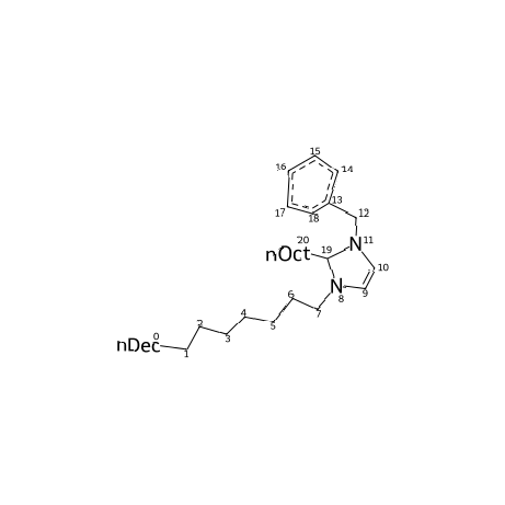 CCCCCCCCCCCCCCCCCN1C=CN(Cc2ccccc2)C1CCCCCCCC